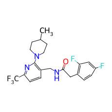 CC1CCN(c2nc(C(F)(F)F)ccc2CNC(=O)Cc2ccc(F)cc2F)CC1